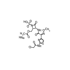 CO/N=C(\C(=O)NC1C(=O)N(S(=O)(=O)O)C1COC(C)=O)c1csc(NC(=O)CCl)n1.[NaH]